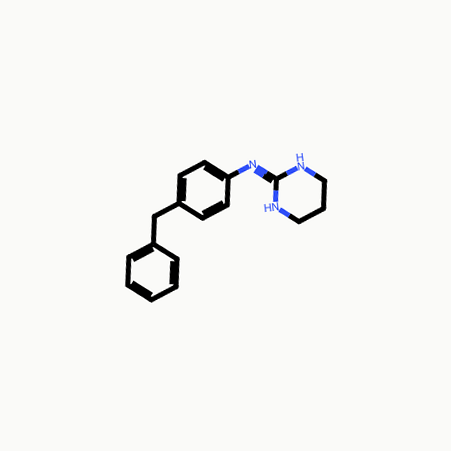 c1ccc(Cc2ccc(N=C3NCCCN3)cc2)cc1